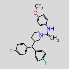 C=C(Nc1ccc(OC(F)(F)F)cc1)N1CCCC(C(c2ccc(F)cc2)c2ccc(F)cc2)C1